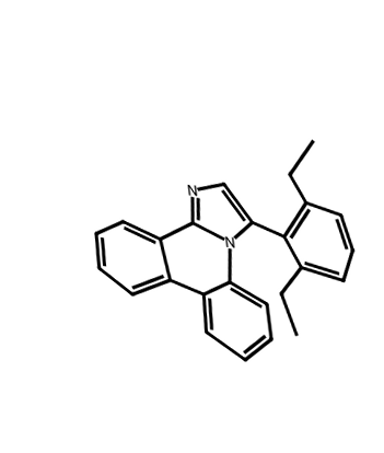 CCc1cccc(CC)c1-c1cnc2c3ccccc3c3ccccc3n12